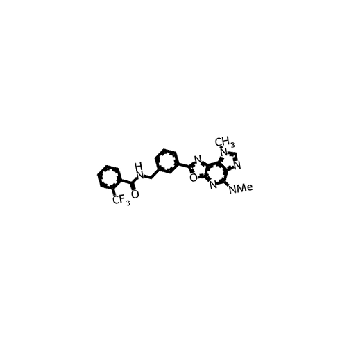 CNc1nc2oc(-c3cccc(CNC(=O)c4ccccc4C(F)(F)F)c3)nc2c2c1ncn2C